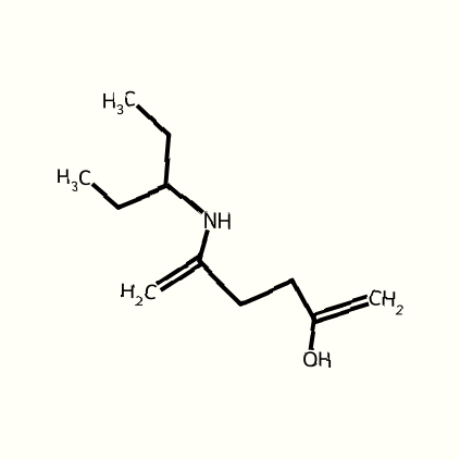 C=C(O)CCC(=C)NC(CC)CC